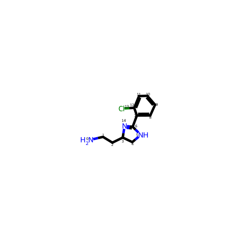 NCCC1CNC(c2ccccc2Cl)=N1